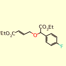 CCOC(=O)/C=C/COC(C(=O)OCC)c1ccc(F)cc1